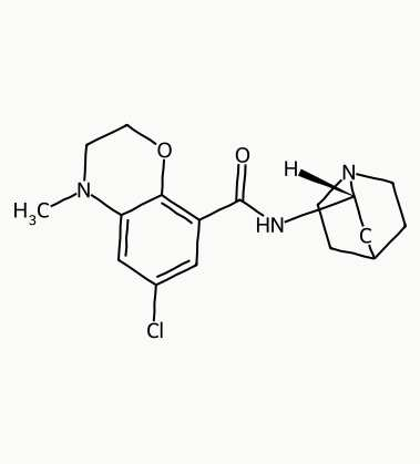 CN1CCOc2c(C(=O)N[C@H]3CC4CCN3CC4)cc(Cl)cc21